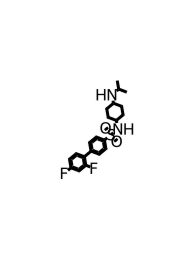 CC(C)NC1CCC(NS(=O)(=O)c2ccc(-c3ccc(F)cc3F)cc2)CC1